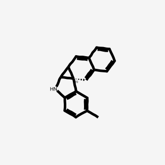 Cc1ccc2c(c1)[C@]13C=c4ccccc4=CC1C3N2